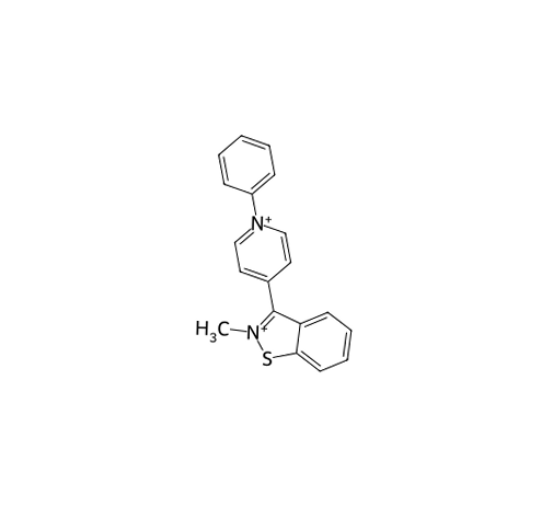 C[n+]1sc2ccccc2c1-c1cc[n+](-c2ccccc2)cc1